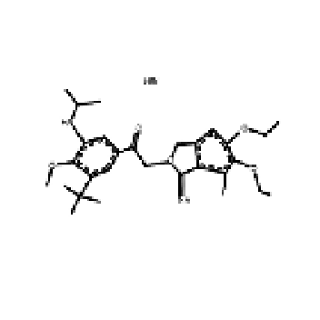 Br.CCOc1cc2c(c(F)c1OCC)C(=N)N(CC(=O)c1cc(NC(C)C)c(OC)c(C(C)(C)C)c1)C2